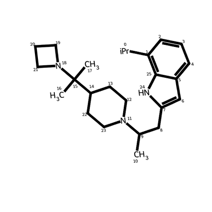 CC(C)c1cccc2cc(CC(C)N3CCC(C(C)(C)N4CCC4)CC3)[nH]c12